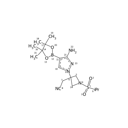 CC(C)S(=O)(=O)N1CC(CC#N)(n2cc(B3OC(C)(C)C(C)(C)O3)c(N)n2)C1